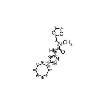 CN(CC1OCCO1)C(=O)Nc1nnc(C2CCCCCCC2)s1